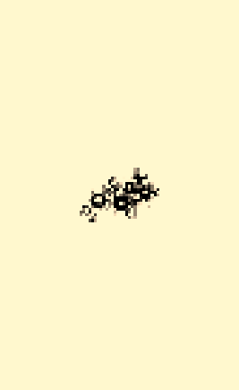 COC(=O)[C@H]1CC[C@H](CNC(=O)N2C[C@@H](CC(C)(C)C)[C@](N)(c3ccc(Cl)cc3F)[C@H]2c2cccc(Cl)c2F)CC1